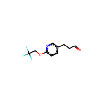 O=CCCc1ccc(OCC(F)(F)F)nc1